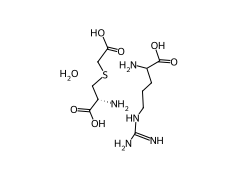 N=C(N)NCCCC(N)C(=O)O.N[C@@H](CSCC(=O)O)C(=O)O.O